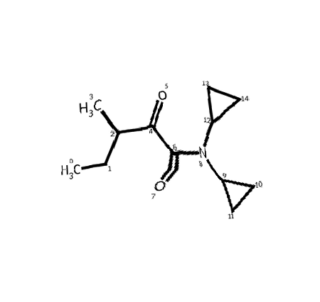 CCC(C)C(=O)C(=O)N(C1CC1)C1CC1